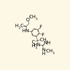 C=C(COC)Nc1cc(F)c(F)c(C(C)(C)NC(=N)NC)c1